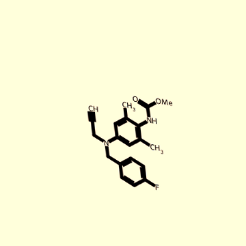 C#CCN(Cc1ccc(F)cc1)c1cc(C)c(NC(=O)OC)c(C)c1